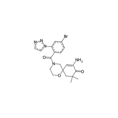 CC1(C)CC2(C=C(N)C1=O)CN(C(=O)c1ccc(Br)cc1-n1ccnn1)CCO2